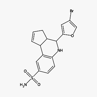 NS(=O)(=O)c1ccc2c(c1)C1C=CCC1C(c1cc(Br)co1)N2